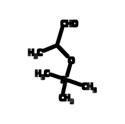 CC(C=O)O[Si](C)(C)C